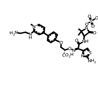 C[n+]1ccc(-c2ccc(OC[C@H](O/N=C(\C(=O)NC3C(=O)N(OS(=O)(=O)[O-])C3(C)C)c3csc(N)n3)C(=O)O)cc2)cc1NCCN